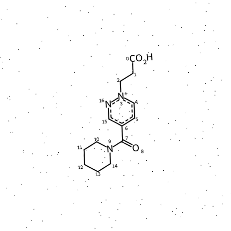 O=C(O)CC[n+]1ccc(C(=O)N2CCCCC2)cn1